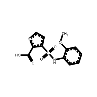 COc1ccccc1NS(=O)(=O)c1ccsc1C(=O)O